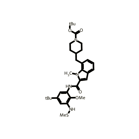 COc1c(NSC)cc(C(C)(C)C)cc1NC(=O)c1cc2cccc(CC3CCN(C(=O)OC(C)(C)C)CC3)c2n1C